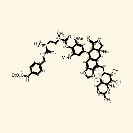 CCOC(=O)Nc1ccc(COC(=O)N(C)CCN(C)C(=O)Oc2c(OC)cc([C@@H]3c4cc5c(c(C[C@@H]6O[C@@H]7COC(C)O[C@H]7[C@H](O)[C@H]6O)c4C[C@H]4COC(=O)C43)OCO5)cc2OC)cc1